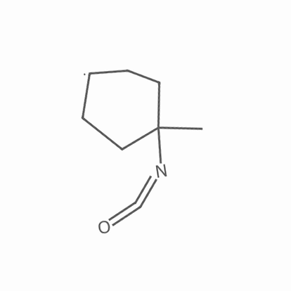 CC1(N=C=O)CC[CH]CC1